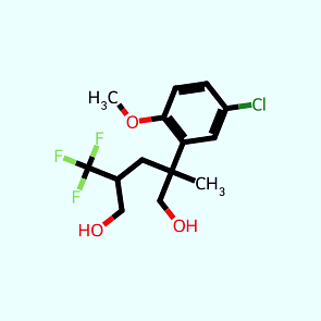 COc1ccc(Cl)cc1C(C)(CO)CC(CO)C(F)(F)F